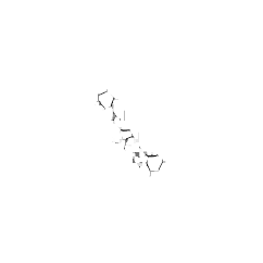 c1ccc(NCc2ccc(Sc3nc4ccccc4[nH]3)o2)cc1